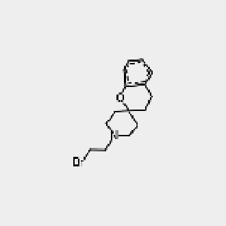 BrCCN1CCC2(CCc3ccccc3O2)CC1